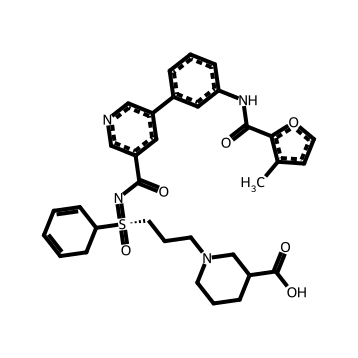 Cc1ccoc1C(=O)Nc1cccc(-c2cncc(C(=O)N=[S@](=O)(CCCN3CCCC(C(=O)O)C3)C3C=CC=CC3)c2)c1